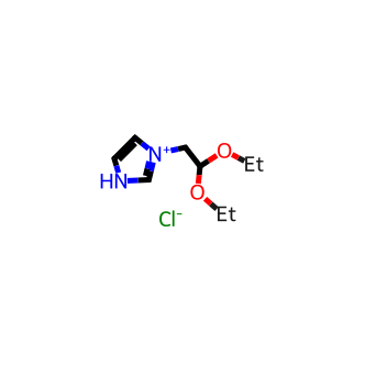 CCOC(C[n+]1cc[nH]c1)OCC.[Cl-]